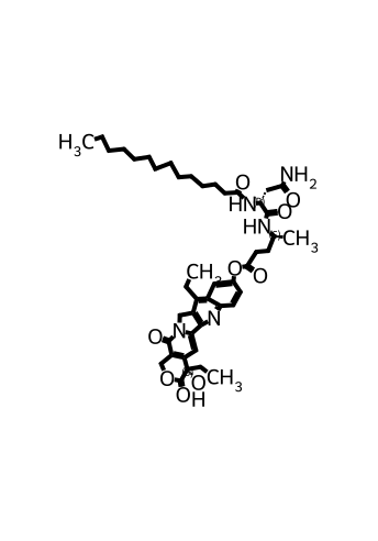 CCCCCCCCCCCCCC(=O)N[C@H](CC(N)=O)C(=O)N[C@@H](C)CCC(=O)Oc1ccc2nc3c(c(CC)c2c1)Cn1c-3cc2c(c1=O)COC(=O)[C@]2(O)CC